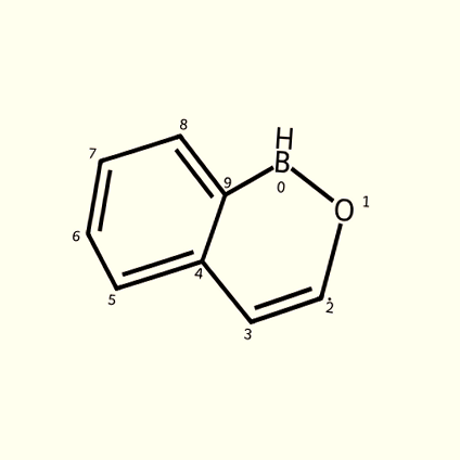 B1O[C]=Cc2ccccc21